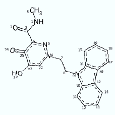 CNC(=O)c1nn(CCn2c3ccccc3c3ccccc32)cc(O)c1=O